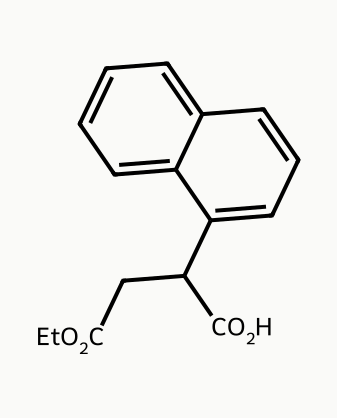 CCOC(=O)CC(C(=O)O)c1cccc2ccccc12